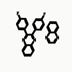 Fc1ccc(-c2nc3ccccc3nc2-c2ccc(F)cc2)cc1.c1ccc2nccnc2c1